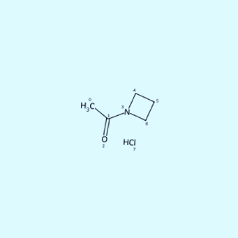 CC(=O)N1CCC1.Cl